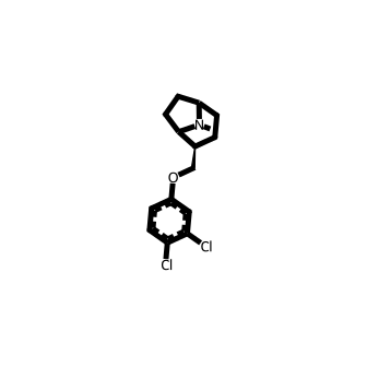 CN1C2CCC1[C@H](COc1ccc(Cl)c(Cl)c1)CC2